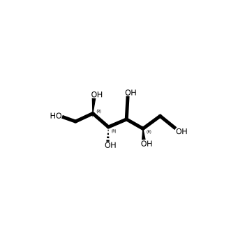 OC[C@@H](O)C(O)[C@H](O)[C@H](O)CO